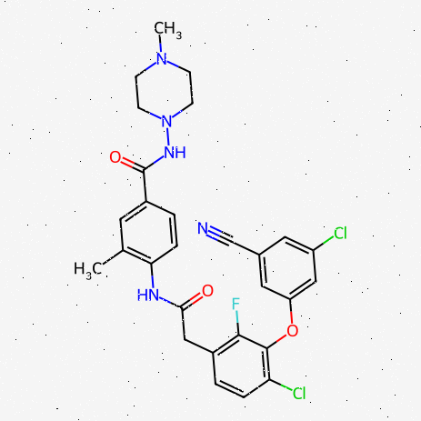 Cc1cc(C(=O)NN2CCN(C)CC2)ccc1NC(=O)Cc1ccc(Cl)c(Oc2cc(Cl)cc(C#N)c2)c1F